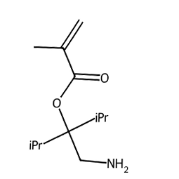 C=C(C)C(=O)OC(CN)(C(C)C)C(C)C